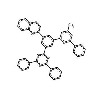 Cc1cc(-c2ccccc2)nc(-c2cc(-c3ccc4ccccc4n3)cc(-c3nc(-c4ccccc4)nc(-c4ccccc4)n3)c2)c1